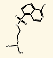 CCCCN(CCCC)CCCNS(=O)(=O)c1cccc2c(O)nccc12